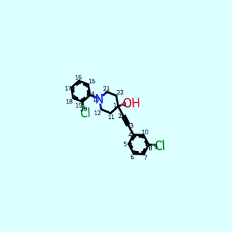 OC1(C#Cc2cccc(Cl)c2)CCN(c2ccccc2Cl)CC1